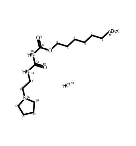 CCCCCCCCCCCCCCCCOC(=O)NC(=O)NCCN1CCCC1.Cl